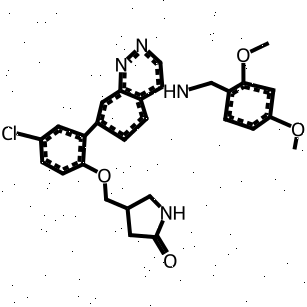 COc1ccc(CNc2cnnc3cc(-c4cc(Cl)ccc4OCC4CNC(=O)C4)ccc23)c(OC)c1